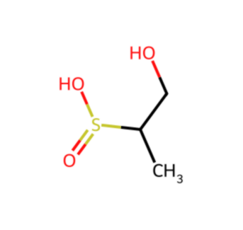 CC(CO)S(=O)O